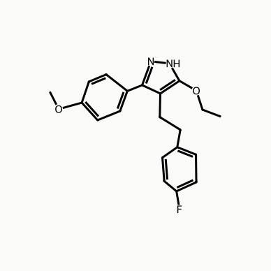 CCOc1[nH]nc(-c2ccc(OC)cc2)c1CCc1ccc(F)cc1